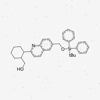 CC(C)(C)[Si](OCc1ccc2nc(C3CCCCC3CO)ccc2c1)(c1ccccc1)c1ccccc1